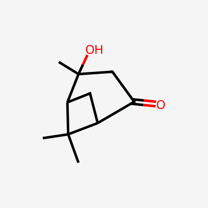 CC1(O)CC(=O)C2CC1C2(C)C